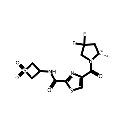 C[C@H]1CC(F)(F)CN1C(=O)c1csc(C(=O)NC2CS(=O)(=O)C2)n1